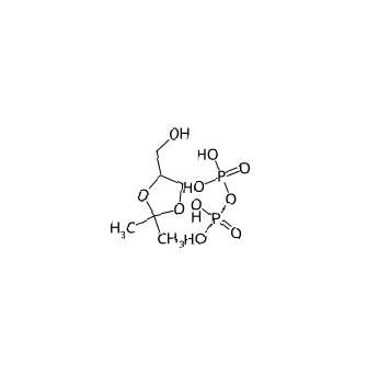 CC1(C)OCC(CO)O1.O=P(O)(O)OP(=O)(O)O